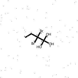 CCC(Br)(Br)C(O)(O)O